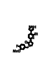 CCc1nc(N2CCN(Cc3ccc(F)c(OC)c3)C2=O)ccc1-c1cn[nH]c1